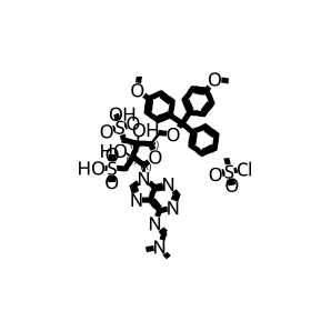 COc1ccc(C(OC[C@H]2O[C@@H](n3cnc4c(N=CN(C)C)ncnc43)[C@@](O)(CS(=O)(=O)O)[C@@]2(O)CS(=O)(=O)O)(c2ccccc2)c2ccc(OC)cc2)cc1.CS(=O)(=O)Cl